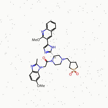 COc1ccc2nc(C)n(CC(=O)N3CCN(CC4CCS(=O)(=O)C4)C[C@H]3c3ncc(-c4cc5ccccc5nc4OC)[nH]3)c2c1